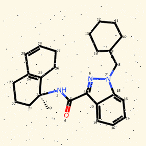 C[C@]1(NC(=O)c2nn(CC3CCCCC3)c3ccccc23)CCCC2=C1CCC=C2